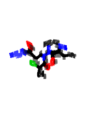 CC(C)C[C@H](NC(=O)O)C(=O)NN(CCC(N)=O)C(=O)[C@@H](C)Cl